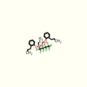 C=CCc1ccccc1OCO[Si](CC)(Oc1ccccc1CC=C)C(F)(F)C(F)(F)C(F)(F)C(F)(F)F